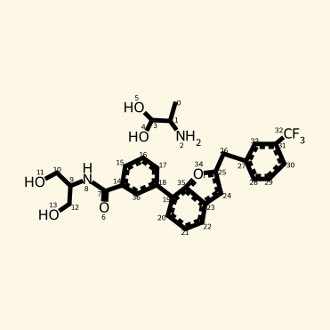 CC(N)C(O)O.O=C(NC(CO)CO)c1cccc(-c2cccc3cc(Cc4cccc(C(F)(F)F)c4)oc23)c1